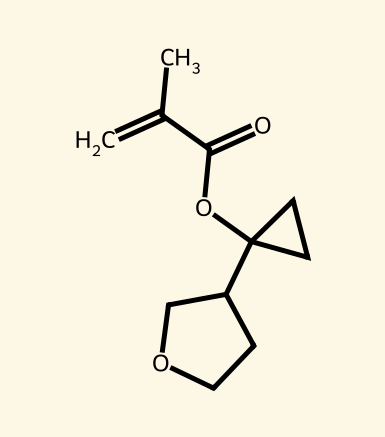 C=C(C)C(=O)OC1(C2CCOC2)CC1